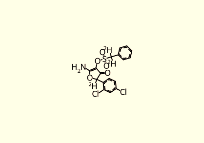 [2H]C1(c2ccc(Cl)cc2Cl)OC(N)=C(OS(=O)(=O)C([2H])([2H])c2ccccc2)C1=O